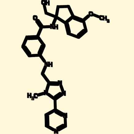 COc1cccc2c1CCC2(CO)NC(=O)c1cccc(NCc2nnc(-c3ccncn3)n2C)c1